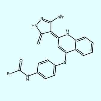 CCCC1=NNC(=O)C1=C1C=C(Sc2ccc(NC(=O)CC)cc2)c2ccccc2N1